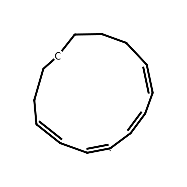 [C]1=CC=CCCCCCCC=CC=C1